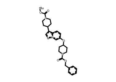 CC(C)(C)OC(=O)N1CCC(c2cnn3cc(OC4CCN(C(=O)OCc5ccccc5)CC4)ccc23)CC1